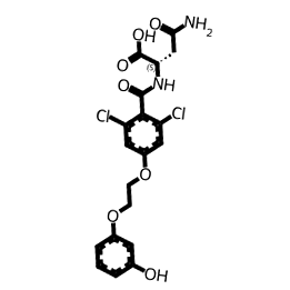 NC(=O)C[C@H](NC(=O)c1c(Cl)cc(OCCOc2cccc(O)c2)cc1Cl)C(=O)O